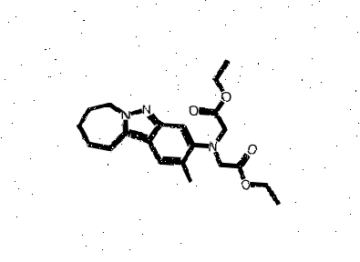 CCOC(=O)CN(CC(=O)OCC)c1cc2nn3c(c2cc1C)CCCCC3